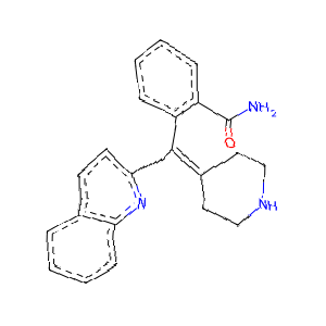 NC(=O)c1ccccc1C(=C1CCNCC1)c1ccc2ccccc2n1